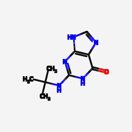 CC(C)(C)Nc1nc2[nH]cnc2c(=O)[nH]1